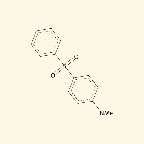 CNc1ccc(S(=O)(=O)c2ccccc2)cc1